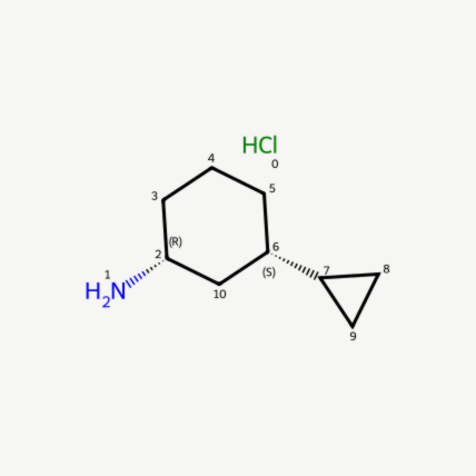 Cl.N[C@@H]1CCC[C@H](C2CC2)C1